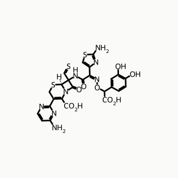 Nc1ccnc(C2=C(C(=O)O)N3C(=O)C(C=S)(NC(=O)/C(=N\OC(C(=O)O)c4ccc(O)c(O)c4)c4csc(N)n4)[C@@H]3SC2)n1